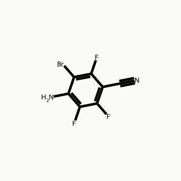 N#Cc1c(F)c(F)c(N)c(Br)c1F